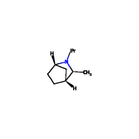 CC(C)N1C(C)[C@@H]2CC[C@H]1C2